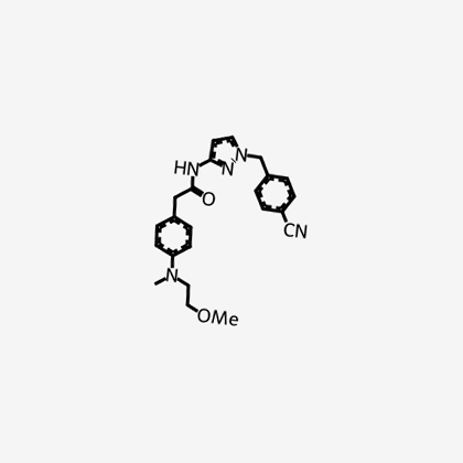 COCCN(C)c1ccc(CC(=O)Nc2ccn(Cc3ccc(C#N)cc3)n2)cc1